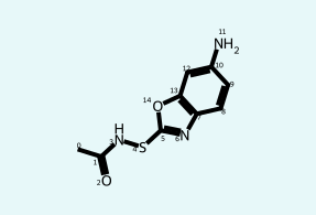 CC(=O)NSc1nc2ccc(N)cc2o1